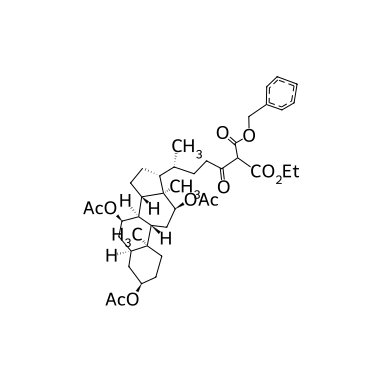 CCOC(=O)C(C(=O)CC[C@@H](C)[C@H]1CC[C@H]2[C@@H]3[C@H](OC(C)=O)C[C@@H]4C[C@H](OC(C)=O)CC[C@]4(C)[C@H]3C[C@H](OC(C)=O)[C@]12C)C(=O)OCc1ccccc1